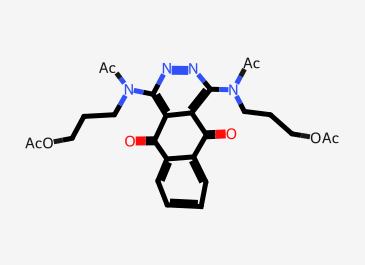 CC(=O)OCCCN(C(C)=O)c1nnc(N(CCCOC(C)=O)C(C)=O)c2c1C(=O)c1ccccc1C2=O